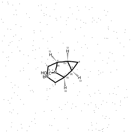 O=C(O)N1[C@@H]2CNC[C@H]1[C@H]1C[C@H]12